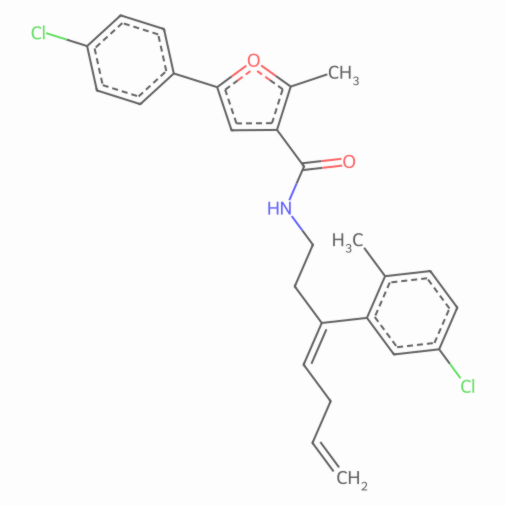 C=CC/C=C(/CCNC(=O)c1cc(-c2ccc(Cl)cc2)oc1C)c1cc(Cl)ccc1C